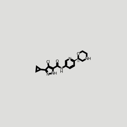 O=C(Nc1ccc([C@@H]2CNCCO2)nc1)c1[nH]nc(C2CC2)c1Cl